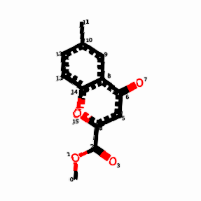 COC(=O)c1cc(=O)c2cc(C)c[c]c2o1